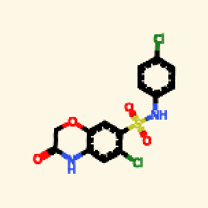 O=C1COc2cc(S(=O)(=O)Nc3ccc(Cl)cc3)c(Cl)cc2N1